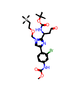 COC(=O)Nc1ccc(-c2cn(COCC[Si](C)(C)C)c(C(CC=O)NC(=O)OC(C)(C)C)n2)c(Br)c1